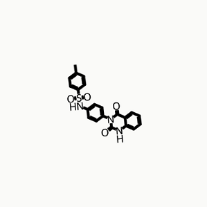 Cc1ccc(S(=O)(=O)Nc2ccc(-n3c(=O)[nH]c4ccccc4c3=O)cc2)cc1